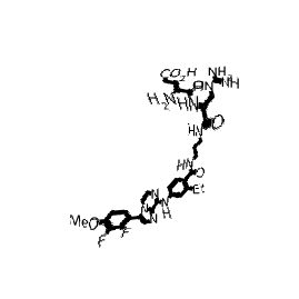 CCc1cc(Nc2nccn3c(-c4ccc(OC)c(F)c4F)cnc23)ccc1C(=O)NCCCNC(=O)C(CNC(=N)N)NC(=O)[C@@H](N)CCC(=O)O